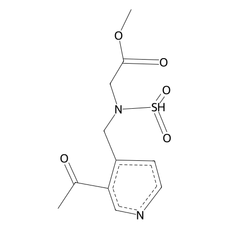 COC(=O)CN(Cc1ccncc1C(C)=O)[SH](=O)=O